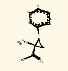 N[C@]1(C(=O)O)C[C@@H]1c1ccccc1